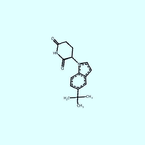 CC(C)(C)c1ccc2c(ccn2C2CCC(=O)NC2=O)c1